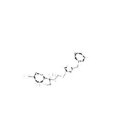 CCC(C)(CCCc1coc(Cc2ccccc2)c1)c1ccc(Cl)cc1